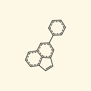 C1=Cc2cc(-c3ccccc3)cc3cccc1c23